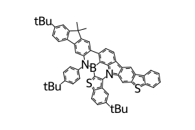 CC(C)(C)c1ccc(N2B3c4sc5ccc(C(C)(C)C)cc5c4-n4c5cc6sc7ccccc7c6cc5c5ccc(c3c54)-c3cc4c(cc32)-c2ccc(C(C)(C)C)cc2C4(C)C)cc1